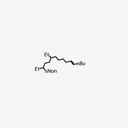 [CH2]CCCC=CCCCCC(CC)CCC(CC)CCCCCCCC[CH2]